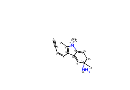 C#C/C=C\c1c(C)n(CC)c2c1=CC(C)(N)CC=2